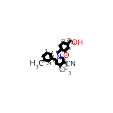 Cc1cccc(-c2cc(C(F)(F)F)c(C#N)c(=O)n2Cc2ccc(CO)cc2)c1